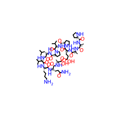 CC(C)C[C@H](NC(=O)[C@@H]1CCCN1C(=O)[C@@H](NC(=O)[C@@H]1CCCN1C(=O)[C@H](CCC(=O)O)NC(=O)[C@H](C)NC(=O)[C@H](C)NC(=O)[C@@H]1CCCN1)C(C)C)C(=O)N[C@H](C(=O)N[C@@H](CCCCN)C(=O)N[C@@H](CCC(N)=O)C(=O)N[C@@H](C)C(=O)O)C(C)C